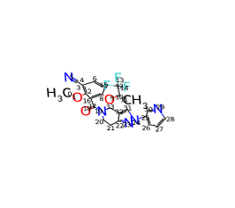 COc1c(C#N)ccc(O[C@@H](C)C(F)(F)F)c1C(=O)N1CCc2nn(-c3cccnc3)cc2C1